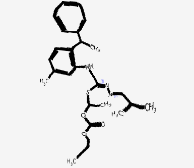 CCOC(=O)OC(C)S/C(=N\N=C\C(C)C)Nc1cc(C)ccc1C(C)c1ccccc1